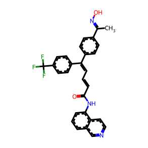 CC(=NO)c1ccc(C(=CC=CC(=O)Nc2cccc3cnccc23)c2ccc(C(F)(F)F)cc2)cc1